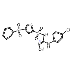 O=S(=O)(N/C(=N/O)Nc1ccc(Cl)cc1)c1cc(S(=O)(=O)c2ccccc2)cs1